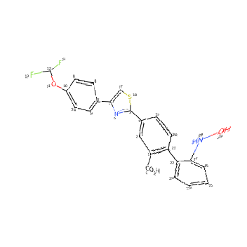 O=C(O)c1cc(-c2nc(-c3ccc(OC(F)F)cc3)cs2)ccc1-c1ccccc1NO